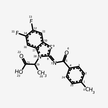 Cc1ccc(C(=O)N=c2sc3cc(F)c(F)cc3n2C(C)C(=O)O)cc1